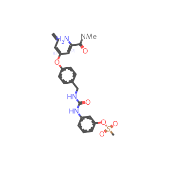 C=C/C=C(\C=C(/N)C(=O)NC)Oc1ccc(CNC(=O)Nc2cccc(OS(C)(=O)=O)c2)cc1